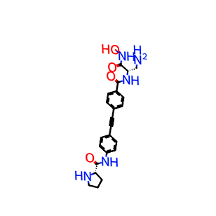 NC[C@H](NC(=O)c1ccc(C#Cc2ccc(NC(=O)[C@@H]3CCCN3)cc2)cc1)C(=O)NO